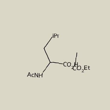 CC(=O)NC(CC(C)C)C(=O)O.CCOC(C)=O